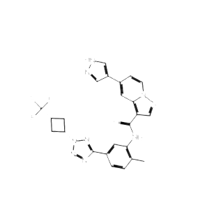 Cc1ccc(-c2nnn([C@H]3C[C@@H](C(F)(F)F)C3)n2)cc1NC(=O)c1cnn2ccc(-c3cn[nH]c3)cc12